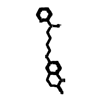 O=C1CCc2cc(OCCCC[S+]([O-])c3ccccn3)ccc2N1